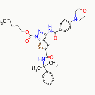 CCCCCOC(=O)n1nc(NC(=O)c2ccc(N3CCOCC3)cc2)c2cc(C(=O)NC(C)(C)c3ccccc3)sc21